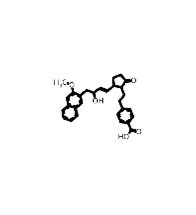 COc1cc2ccccc2cc1CC(O)/C=C/C1CCC(=O)C1CCc1ccc(C(=O)O)cc1